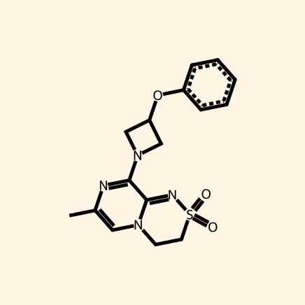 CC1=CN2CCS(=O)(=O)N=C2C(N2CC(Oc3ccccc3)C2)=N1